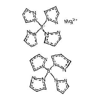 [Mg+2].c1cnn([B-](n2cccn2)(n2cccn2)n2cccn2)c1.c1cnn([B-](n2cccn2)(n2cccn2)n2cccn2)c1